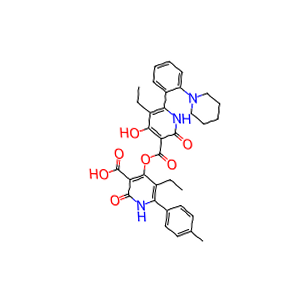 CCc1c(-c2ccccc2N2CCCCC2)[nH]c(=O)c(C(=O)Oc2c(CC)c(-c3ccc(C)cc3)[nH]c(=O)c2C(=O)O)c1O